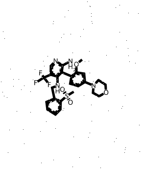 COc1cc(N2CCOCC2)ccc1-c1c(N)ncc(C(F)(F)F)c1NCc1ccccc1S(C)(=O)=O